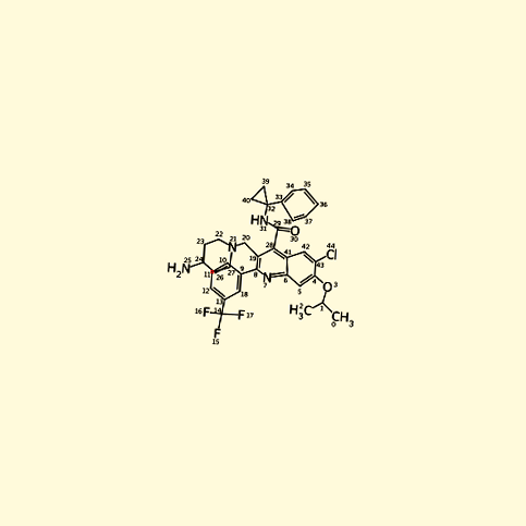 CC(C)Oc1cc2nc(-c3cccc(C(F)(F)F)c3)c(CN3CCC(N)CC3)c(C(=O)NC3(c4ccccc4)CC3)c2cc1Cl